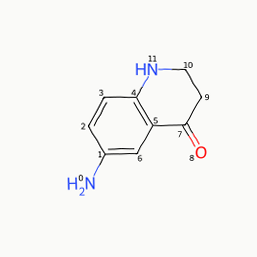 Nc1ccc2c(c1)C(=O)CCN2